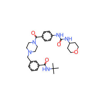 CC(C)(C)NC(=O)c1cccc(CN2CCN(C(=O)c3ccc(NC(=O)NC4CCOCC4)cc3)CC2)c1